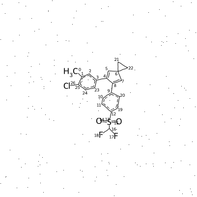 Cc1cc(C2=CC3(C=C2c2ccc(S(=O)(=O)C(F)F)cc2)CC3)ccc1Cl